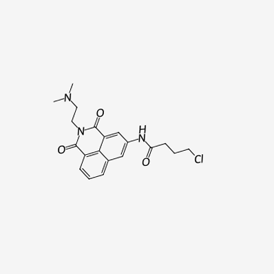 CN(C)CCN1C(=O)c2cccc3cc(NC(=O)CCCCl)cc(c23)C1=O